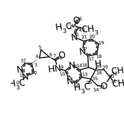 Cn1cc([C@@H]2C[C@H]2C(=O)Nc2ncc3c(n2)C(c2cccc(N=S(C)(C)=O)n2)[C@@H]2CC(C)(C)OC[C@]32C)cn1